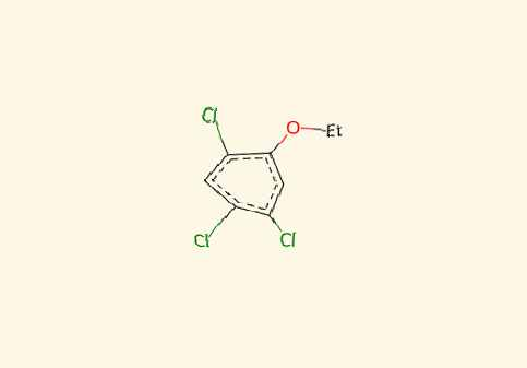 CCOc1cc(Cl)c(Cl)cc1Cl